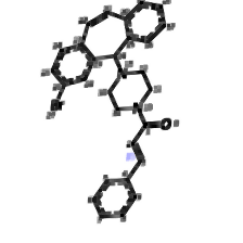 O=C(/C=C/c1ccccc1)N1CCN(C2c3ccccc3C=Cc3ccc(Br)cc32)CC1